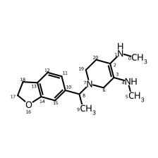 CNC1=C(NC)CN(C(C)c2ccc3c(c2)OCC3)CC1